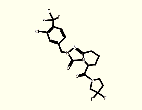 O=C(C1CCCc2nn(Cc3ccc(C(F)(F)F)c(Cl)c3)c(=O)n21)N1CCC(F)(F)C1